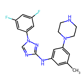 Cc1cc(Nc2ncn(-c3cc(F)cc(F)c3)n2)cc(N2CCNCC2)c1